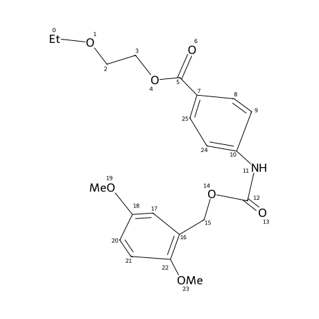 CCOCCOC(=O)c1ccc(NC(=O)OCc2cc(OC)ccc2OC)cc1